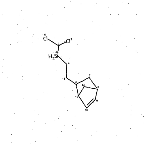 ClC(Cl)[SiH2]CCC1CC2C=CC1C2